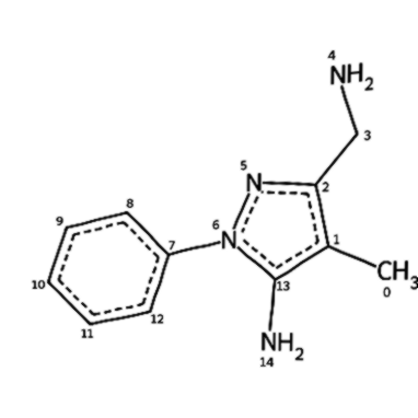 Cc1c(CN)nn(-c2ccccc2)c1N